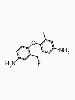 Cc1cc(N)ccc1Oc1ccc(N)cc1CF